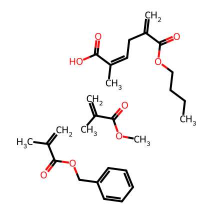 C=C(C)C(=O)OC.C=C(C)C(=O)OCc1ccccc1.C=C(CC=C(C)C(=O)O)C(=O)OCCCC